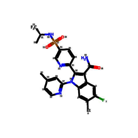 CCc1cc2c(cc1F)c(C(N)=O)c(-c1ccc(S(=O)(=O)N[C@@H](C)C(F)(F)F)cn1)n2-c1cc(C)ccn1